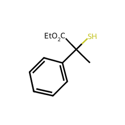 CCOC(=O)C(C)(S)c1ccccc1